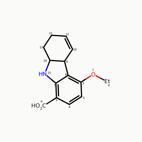 CCOc1ccc(C(=O)O)c2c1C1C=CCCC1N2